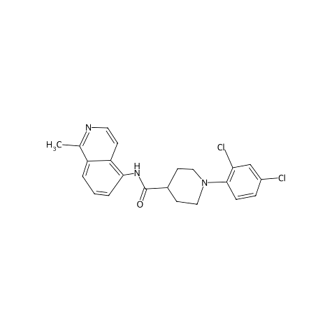 Cc1nccc2c(NC(=O)C3CCN(c4ccc(Cl)cc4Cl)CC3)cccc12